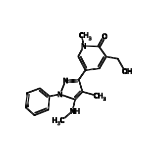 CNc1c(C)c(-c2cc(CO)c(=O)n(C)c2)nn1-c1ccccc1